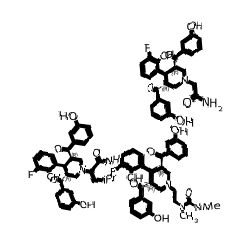 CNC(=O)N(C)CCN1C[C@H](C(=O)c2cccc(O)c2)C(c2cccc(F)c2C)[C@@H](C(=O)c2cccc(O)c2)C1.Cc1c(F)cccc1C1[C@@H](C(=O)c2cccc(O)c2)CN(C(CC(C)C)C(N)=O)C[C@@H]1C(=O)c1cccc(O)c1.Cc1c(F)cccc1C1[C@@H](C(=O)c2cccc(O)c2)CN(CC(N)=O)C[C@@H]1C(=O)c1cccc(O)c1